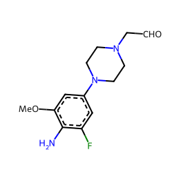 COc1cc(N2CCN(CC=O)CC2)cc(F)c1N